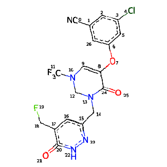 N#Cc1cc(Cl)cc(OC2=CN(C(F)(F)F)CN(Cc3cc(CF)c(=O)[nH]n3)C2=O)c1